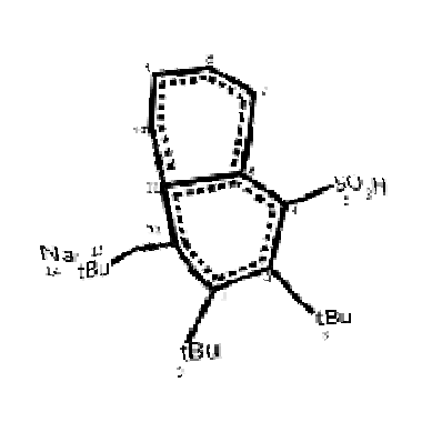 CC(C)(C)c1c(C(C)(C)C)c(S(=O)(=O)O)c2ccccc2c1C(C)(C)C.[Na]